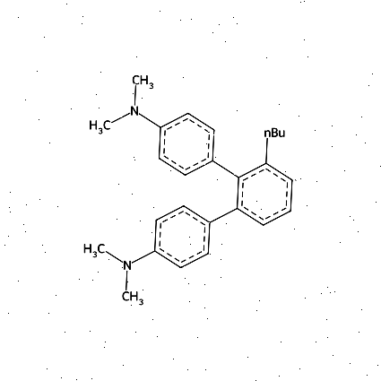 CCCCc1[c]ccc(-c2ccc(N(C)C)cc2)c1-c1ccc(N(C)C)cc1